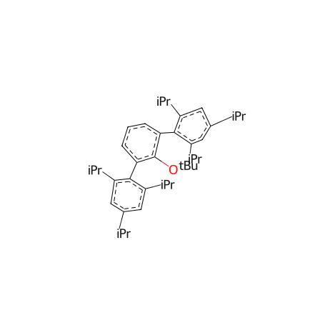 CC(C)c1cc(C(C)C)c(-c2cccc(-c3c(C(C)C)cc(C(C)C)cc3C(C)C)c2OC(C)(C)C)c(C(C)C)c1